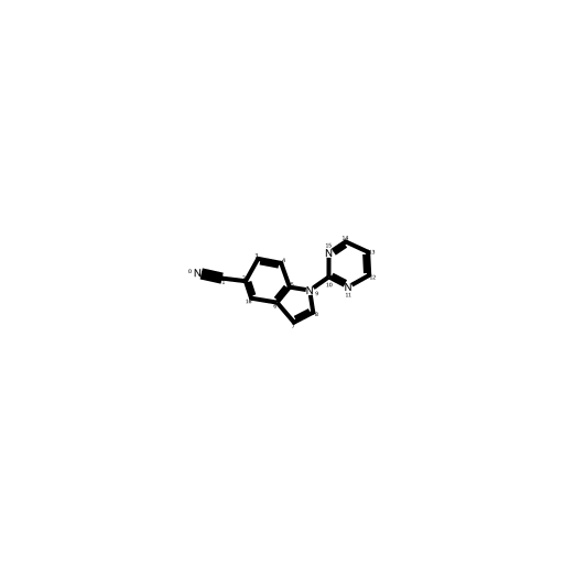 N#Cc1ccc2c(ccn2-c2ncccn2)c1